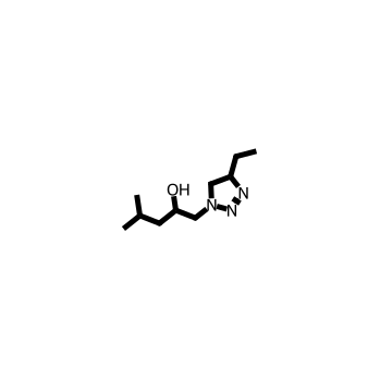 CCC1CN(CC(O)CC(C)C)N=N1